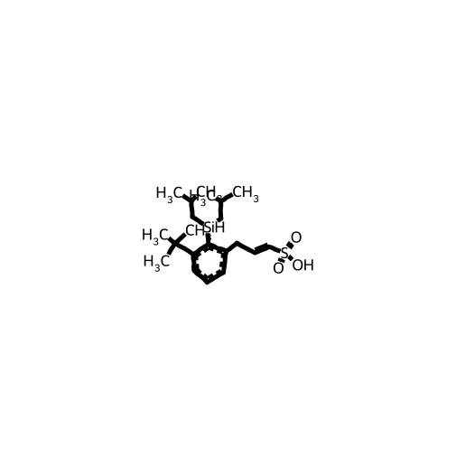 CC(C)C[SiH](CC(C)C)c1c(CC=CS(=O)(=O)O)cccc1C(C)(C)C